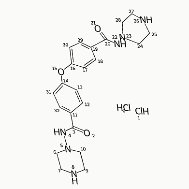 Cl.Cl.O=C(NN1CCNCC1)c1ccc(Oc2ccc(C(=O)NN3CCNCC3)cc2)cc1